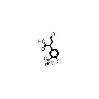 O=CCC(C(=O)O)c1ccc(Cl)c(S(=O)(=O)Cl)c1